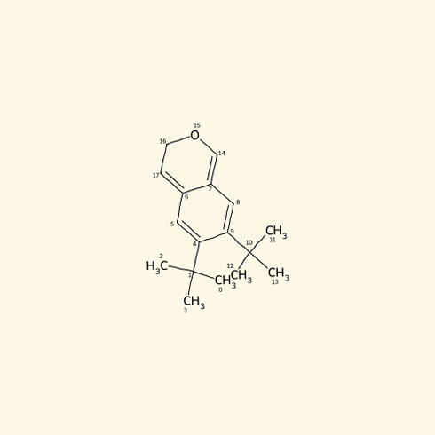 CC(C)(C)c1cc2c(cc1C(C)(C)C)=COCC=2